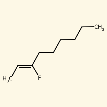 CC=C(F)CCCCCC